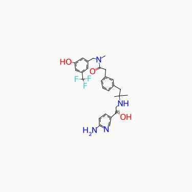 CN(Cc1cc(O)cc(C(F)(F)F)c1)C(=O)Cc1cccc(CC(C)(C)NC[C@H](O)c2ccc(N)nc2)c1